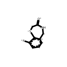 O=C1CSc2c(F)cccc2CN1